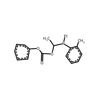 CCN(c1ccccc1C)C(C)OC(=O)Oc1ccccc1